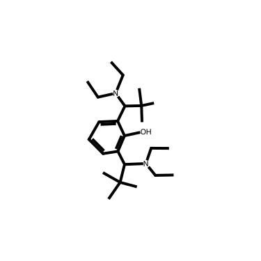 CCN(CC)C(c1cccc(C(N(CC)CC)C(C)(C)C)c1O)C(C)(C)C